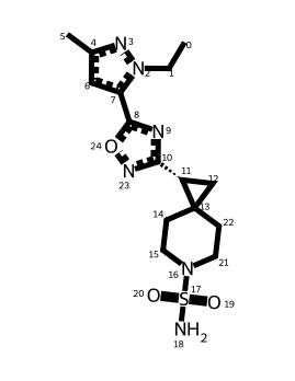 CCn1nc(C)cc1-c1nc([C@@H]2CC23CCN(S(N)(=O)=O)CC3)no1